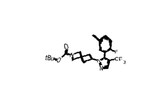 Cc1ccc(F)c(-c2c(C(F)(F)F)cnn2C2CC3(C2)CN(C(=O)OC(C)(C)C)C3)c1